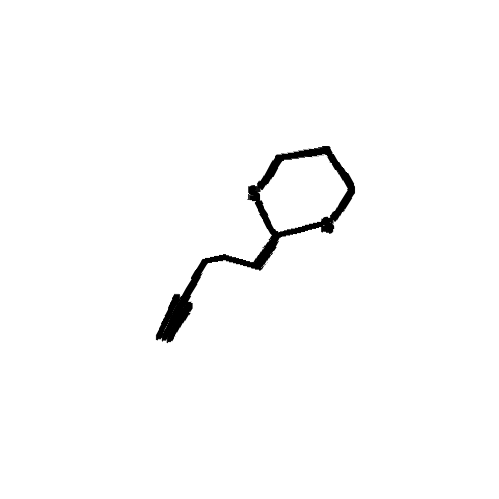 C#CCCC1SCCCS1